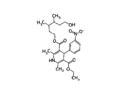 CCOC(=O)C1=C(C)NC(C)=C(C(=O)OCCC(C)C(C)CCO)C1c1cccc([N+](=O)[O-])c1